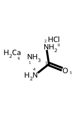 Cl.N.NC(N)=O.[CaH2]